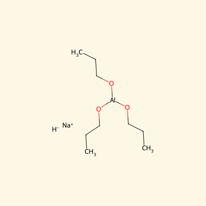 CCC[O][Al]([O]CCC)[O]CCC.[H-].[Na+]